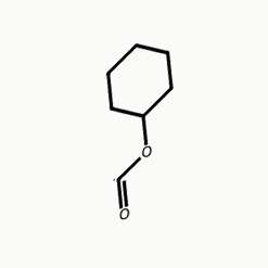 O=[C]OC1CCCCC1